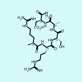 C[C@H](NC(=O)[C@H](CO)NC(=O)[C@H](CCCNC(=N)N)NC(=O)[C@@H](C)CCCNC(=N)N)C(=O)N[C@@H](CC(=O)O)C(N)=O